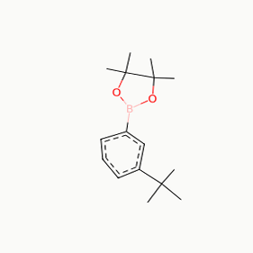 CC(C)(C)c1cccc(B2OC(C)(C)C(C)(C)O2)c1